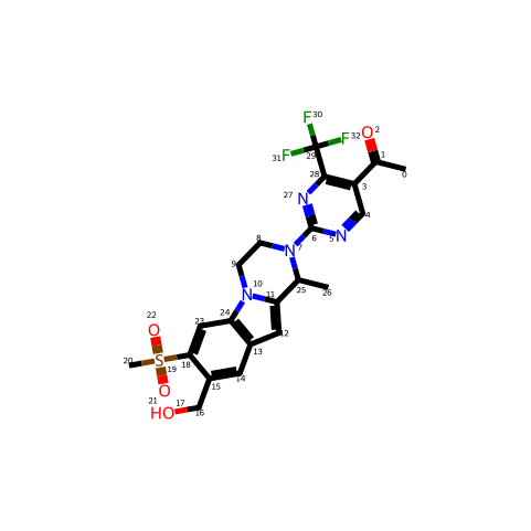 CC(=O)c1cnc(N2CCn3c(cc4cc(CO)c(S(C)(=O)=O)cc43)C2C)nc1C(F)(F)F